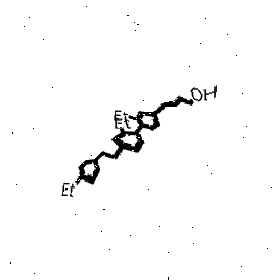 CCc1ccc(CCc2ccc(-c3ccc(CCCCO)cc3CC)c(CC)c2)cc1